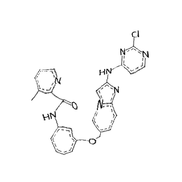 Cc1cccnc1C(=O)Nc1cccc(Oc2ccc3nc(Nc4ccnc(Cl)n4)cn3c2)c1